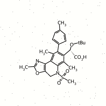 Cc1ccc(-c2c(C)c3c(c(C)c2[C@H](OC(C)(C)C)C(=O)O)N(S(C)(=O)=O)Cc2oc(C)nc2-3)cc1